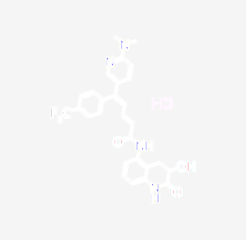 CN(C)c1ccc(/C(=C/C=C/C(=O)Nc2cccc3c2CC(O)C(=O)N3)c2ccc(C(F)(F)F)cc2)cn1.Cl